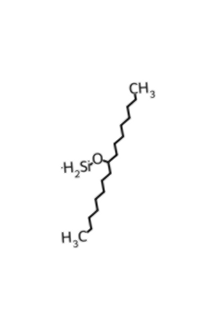 CCCCCCCCC(CCCCCCCC)O[SiH2]